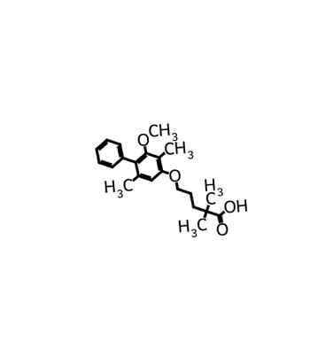 COc1c(C)c(OCCCC(C)(C)C(=O)O)cc(C)c1-c1ccccc1